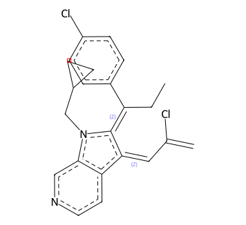 C=C(Cl)/C=c1\c(=C(/CC)c2ccc(Cl)cc2)n(CC2CC2)c2cnccc12